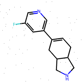 Fc1cncc(C2=CCC3CNCC3C2)c1